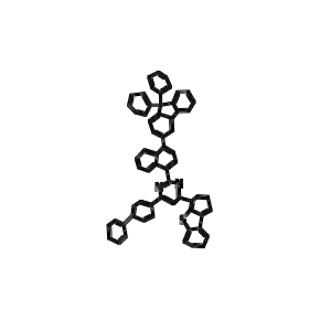 c1ccc(-c2ccc(-c3cc(-c4cccc5c4sc4ccccc45)nc(-c4ccc(-c5ccc6c(c5)-c5ccccc5C6(c5ccccc5)c5ccccc5)c5ccccc45)n3)cc2)cc1